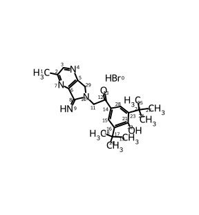 Br.Cc1cnc2c(n1)C(=N)N(CC(=O)c1cc(C(C)(C)C)c(O)c(C(C)(C)C)c1)C2